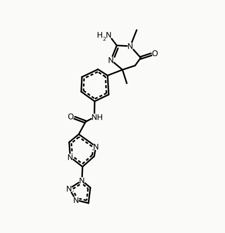 CN1C(=O)CC(C)(c2cccc(NC(=O)c3cnc(-n4ccnn4)cn3)c2)N=C1N